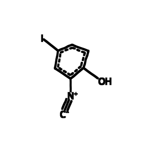 [C-]#[N+]c1cc(I)ccc1O